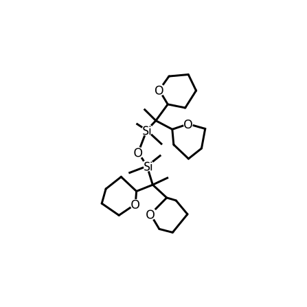 CC(C1CCCCO1)(C1CCCCO1)[Si](C)(C)O[Si](C)(C)C(C)(C1CCCCO1)C1CCCCO1